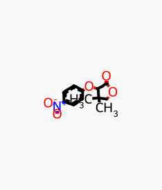 CC1(C)COC(=O)C1Oc1ccc([N+](=O)[O-])cc1